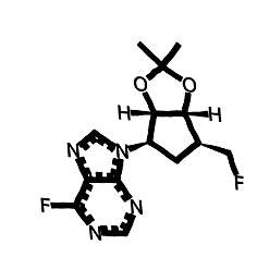 CC1(C)O[C@@H]2[C@@H](CF)C[C@@H](n3cnc4c(F)ncnc43)[C@@H]2O1